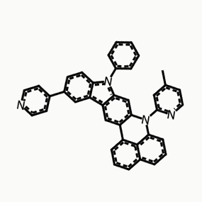 Cc1ccnc(N2c3cc4c(cc3-c3cccc5cccc2c35)c2cc(-c3ccncc3)ccc2n4-c2ccccc2)c1